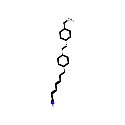 CC[C@H]1CC[C@H](CC[C@H]2CC[C@H](CCC=CC=CC#N)CC2)CC1